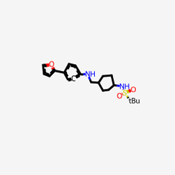 CC(C)(C)S(=O)(=O)NC1CCC(CNc2ccc(-c3ccco3)cc2)CC1